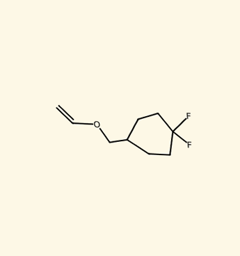 C=COCC1CCC(F)(F)CC1